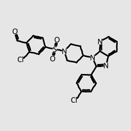 O=Cc1ccc(S(=O)(=O)N2CCC(n3c(-c4ccc(Cl)cc4)nc4cccnc43)CC2)cc1Cl